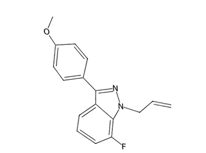 C=CCn1nc(-c2ccc(OC)cc2)c2cccc(F)c21